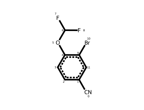 N#Cc1ccc(OC(F)F)c(Br)c1